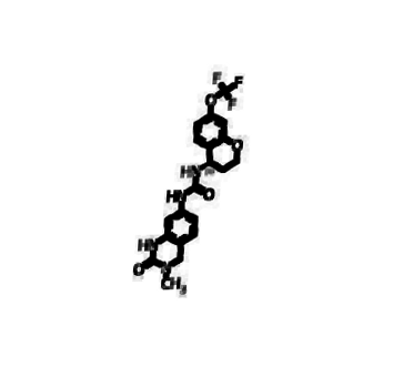 CN1Cc2ccc(NC(=O)N[C@@H]3CCOc4cc(OC(F)(F)F)ccc43)cc2NC1=O